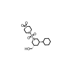 O=S1(=O)CCN(S(=O)(=O)N2C[C@@H](CO)C[C@H](C3CCCCC3)C2)CC1